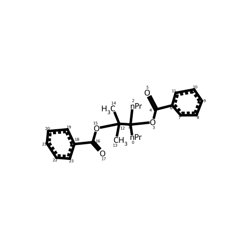 CCCC(CCC)(OC(=O)c1ccccc1)C(C)(C)OC(=O)c1ccccc1